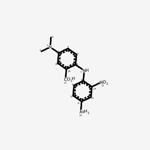 CN(C)c1ccc(Nc2ccc([AsH2])cc2[N+](=O)[O-])c(C(=O)O)c1